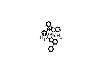 CC1=Cc2c(-c3ccccc3)cccc2C1[Si](C)(C)C1c2ccccc2-c2c1n(-c1ccccc1)c1ccccc21